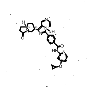 N[N+]12C=CN=CC1=C([C@@H]1CC[C@H]3CCC(=O)N3C1)N=C2c1ccc(C(=O)Nc2cc(OC3CC3)ccn2)cc1